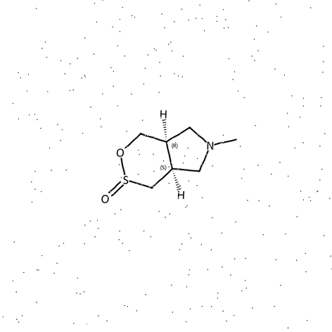 CN1C[C@@H]2COS(=O)C[C@@H]2C1